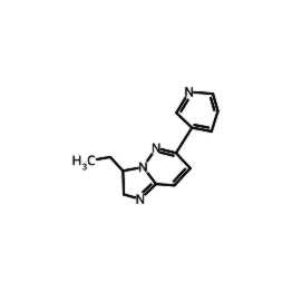 CCC1CN=C2C=CC(c3cccnc3)=NN21